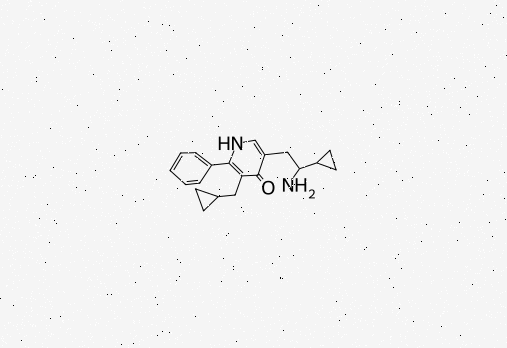 NC(Cc1c[nH]c(-c2ccccc2)c(CC2CC2)c1=O)C1CC1